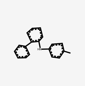 Cc1ccc(Nc2ccccc2-c2ccccc2)cc1